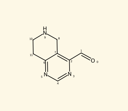 O=Cc1ncnc2c1CNCC2